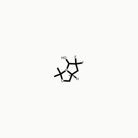 CC1(C)OC[C@H]2CC(F)(F)C(O)N21